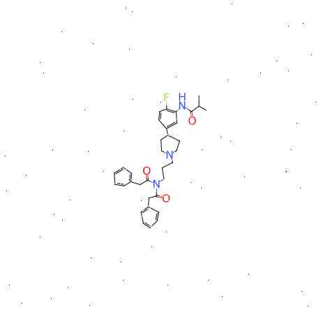 CC(C)C(=O)Nc1cc(C2CCN(CCCN(C(=O)Cc3ccccc3)C(=O)Cc3ccccc3)CC2)ccc1F